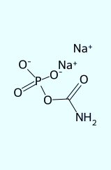 NC(=O)OP(=O)([O-])[O-].[Na+].[Na+]